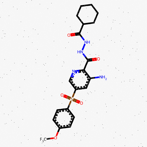 Nc1cc(S(=O)(=O)c2ccc(OC(F)(F)F)cc2)cnc1C(=O)NNC(=O)C1CCCCC1